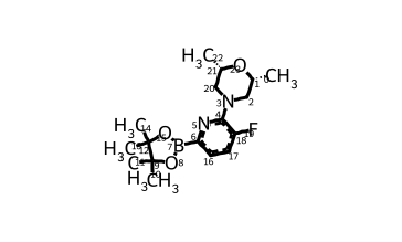 C[C@@H]1CN(c2nc(B3OC(C)(C)C(C)(C)O3)ccc2F)C[C@H](C)O1